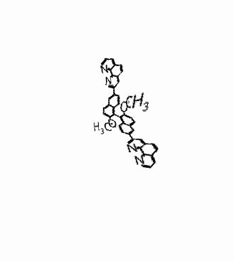 COc1ccc2cc(-c3cnc4c(ccc5cccnc54)c3)ccc2c1-c1c(OC)ccc2cc(-c3cnc4c(ccc5cccnc54)c3)ccc12